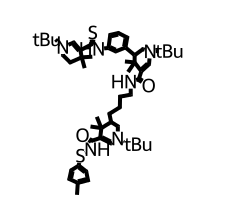 Cc1ccc(SNC(=O)C2=CN(C(C)(C)C)CC(CCCCNC(=O)C3=CN(C(C)(C)C)CC(c4cccc(NC(=S)C5=CN(C(C)(C)C)CCC5(C)C)c4)C3(C)C)C2(C)C)cc1